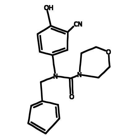 N#Cc1cc(N(Cc2ccccc2)C(=O)N2CCOCC2)ccc1O